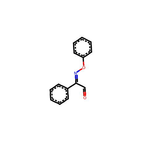 O=CC(=NOc1ccccc1)c1ccccc1